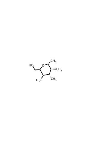 C[C@@H]1[C@@H](C)[C@@H](CO)O[C@H](C)[C@H]1C